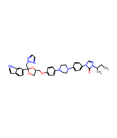 CCC(C)n1ncn(-c2ccc(N3CCN(c4ccc(OCC5COC(Cn6nccn6)(c6ccc7cc[nH]c7c6)O5)cc4)CC3)cc2)c1=O